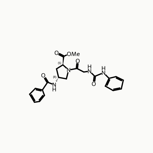 COC(=O)[C@@H]1C[C@@H](NC(=O)c2ccccc2)CN1C(=O)CNC(=O)Nc1ccccc1